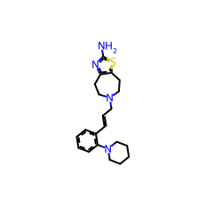 Nc1nc2c(s1)CCN(CC=Cc1ccccc1N1CCCCC1)CC2